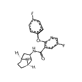 O=C(NC1C[C@H]2CC[C@@H](C1)N2)c1cc(F)cnc1Oc1ccc(F)cc1